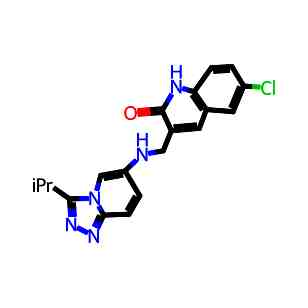 CC(C)c1nnc2ccc(NCc3cc4cc(Cl)ccc4[nH]c3=O)cn12